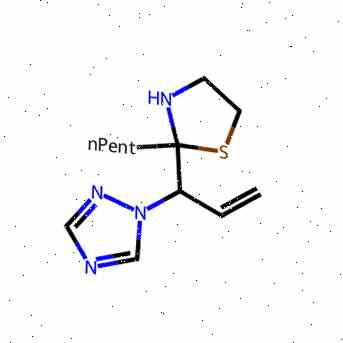 C=CC(n1cncn1)C1(CCCCC)NCCS1